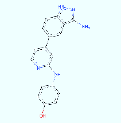 Nc1n[nH]c2ccc(-c3ccnc(Nc4ccc(O)cc4)c3)cc12